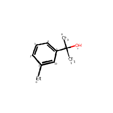 [CH2]Cc1cccc(C(O)(C(F)(F)F)C(F)(F)F)c1